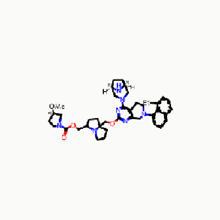 CCc1cccc2cccc(N3CCc4c(nc(OCC56CCCN5C(COC(=O)N5CC[C@@H](OC)C5)CC6)nc4N4C[C@H]5CC[C@@H](C4)N5)C3)c12